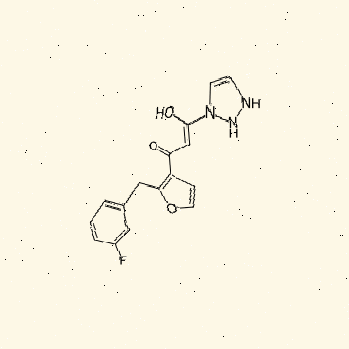 O=C(C=C(O)N1C=CNN1)c1ccoc1Cc1cccc(F)c1